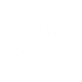 Cc1ccc(NC(=O)N2CCC(CC(F)(F)F)C2)cc1-c1cc(NC(CO)CO)nc(N2CCOCC2)c1